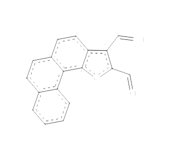 C=Cc1oc2c(ccc3ccc4ccccc4c32)c1C=C